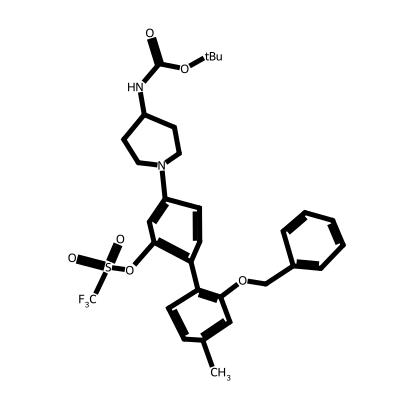 Cc1ccc(-c2ccc(N3CCC(NC(=O)OC(C)(C)C)CC3)cc2OS(=O)(=O)C(F)(F)F)c(OCc2ccccc2)c1